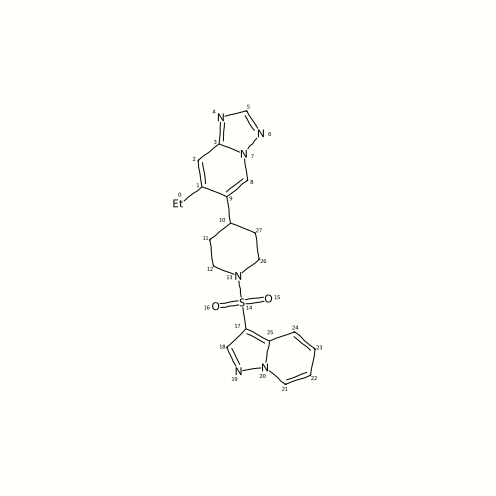 CCc1cc2ncnn2cc1C1CCN(S(=O)(=O)c2cnn3ccccc23)CC1